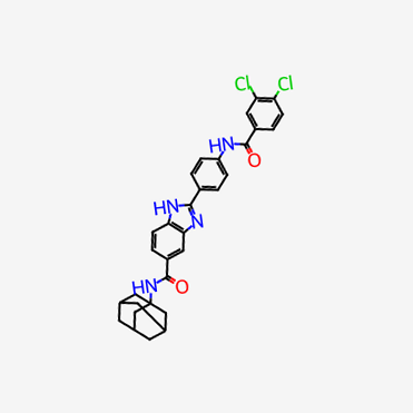 O=C(Nc1ccc(-c2nc3cc(C(=O)NC45CC6CC(CC(C6)C4)C5)ccc3[nH]2)cc1)c1ccc(Cl)c(Cl)c1